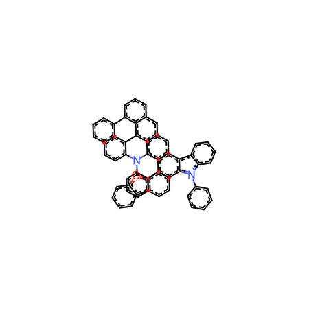 c1ccc(-c2cccc3cccc(-c4ccccc4N(c4ccccc4-c4ccc5c6ccccc6n(-c6ccccc6)c5c4)c4ccccc4-c4cccc5c4oc4ccccc45)c23)cc1